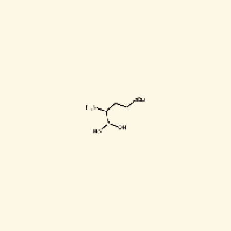 CCCCCCC(N)P(O)O